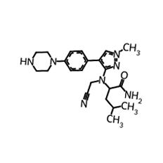 CC(C)CC(C(N)=O)N(CC#N)c1nn(C)cc1-c1ccc(N2CCNCC2)cc1